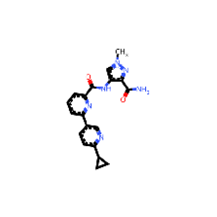 Cn1cc(NC(=O)c2cccc(-c3ccc(C4CC4)nc3)n2)c(C(N)=O)n1